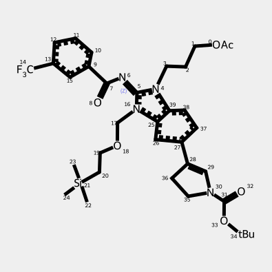 CC(=O)OCCCn1/c(=N/C(=O)c2cccc(C(F)(F)F)c2)n(COCC[Si](C)(C)C)c2cc(C3=CN(C(=O)OC(C)(C)C)CC3)ccc21